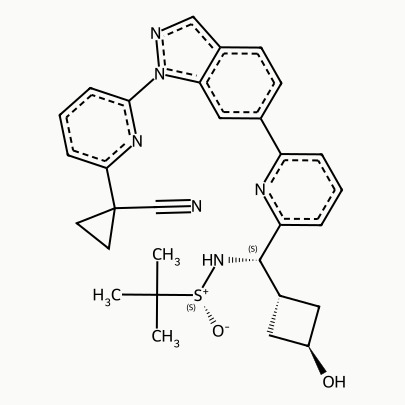 CC(C)(C)[S@@+]([O-])N[C@H](c1cccc(-c2ccc3cnn(-c4cccc(C5(C#N)CC5)n4)c3c2)n1)[C@H]1C[C@H](O)C1